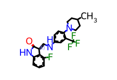 CC1CCN(c2ccc(N/C=C3/C(=O)Nc4cccc(F)c43)cc2C(F)(F)F)CC1